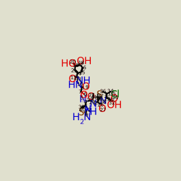 Nc1nc(/C(=N/OCC(=O)NNC(=O)c2ccc(O)c(O)c2)C(=O)NC2C(=O)N3C(C(=O)O)=C(CCl)CS[C@H]23)cs1